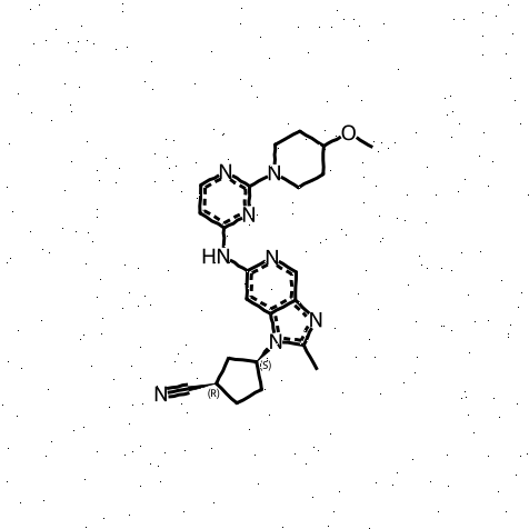 COC1CCN(c2nccc(Nc3cc4c(cn3)nc(C)n4[C@H]3CC[C@@H](C#N)C3)n2)CC1